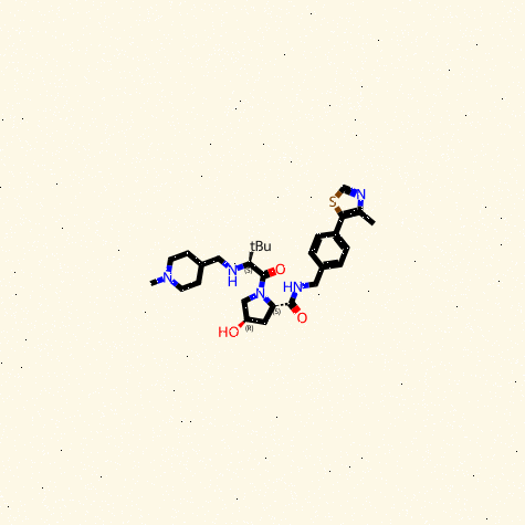 Cc1ncsc1-c1ccc(CNC(=O)[C@@H]2C[C@@H](O)CN2C(=O)[C@@H](NCC2CCN(C)CC2)C(C)(C)C)cc1